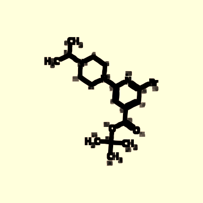 CC(C)N1CCN(c2cc(C(=O)OC(C)(C)C)cc(Br)n2)CC1